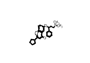 CN(C)CCC(Oc1ccc2oc(C3CCCC3)cc(=O)c2c1)c1ccccc1